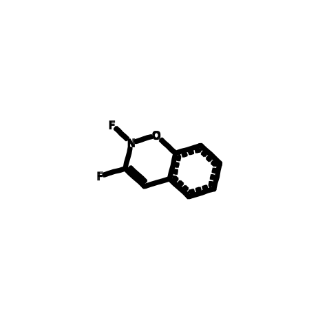 FC1=Cc2ccccc2ON1F